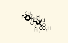 Cc1cc(NC(=O)c2[nH]c(Cl)c(C(=O)C(=O)O)c2C)ccc1F